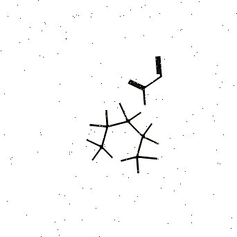 C=CC(=O)OC1(C)C(F)(F)C(C)(O)OC(CC)(C(F)(F)F)C1(F)F